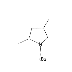 CC1CC(C)N(C(C)(C)C)C1